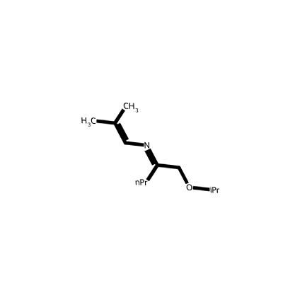 CCC/C(COC(C)C)=N\C=C(C)C